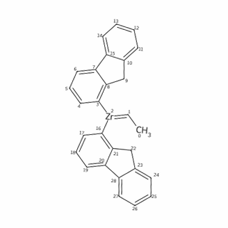 C[CH]=[Zr]([c]1cccc2c1Cc1ccccc1-2)[c]1cccc2c1Cc1ccccc1-2